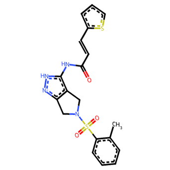 Cc1ccccc1S(=O)(=O)N1Cc2n[nH]c(NC(=O)/C=C/c3cccs3)c2C1